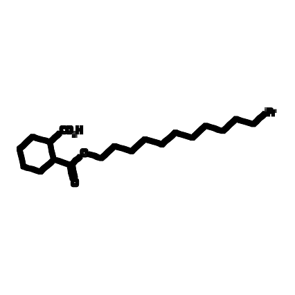 CC(C)CCCCCCCCCCCOC(=O)C1CCCCC1C(=O)O